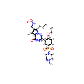 CCCc1c(/C=N/O)c(C)c2c(=O)[nH]c(-c3cc(S(=O)(=O)N4CCN(C)CC4)ccc3OCC)nn12